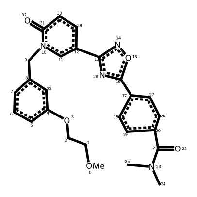 COCCOc1cccc(Cn2cc(-c3noc(-c4ccc(C(=O)N(C)C)cc4)n3)ccc2=O)c1